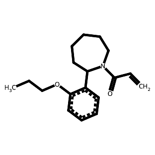 C=CC(=O)N1CCCCCC1c1ccccc1OCCC